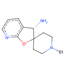 CCN1CCC2(CC1)Oc1ncccc1[C@@H]2N